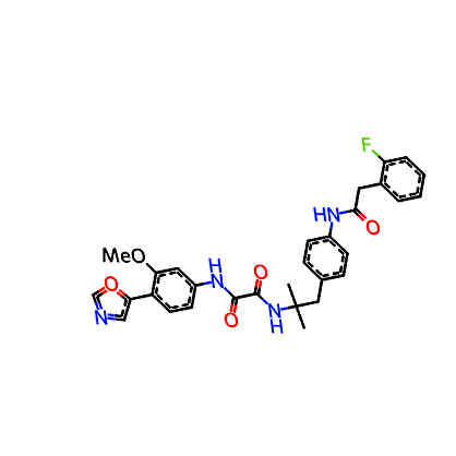 COc1cc(NC(=O)C(=O)NC(C)(C)Cc2ccc(NC(=O)Cc3ccccc3F)cc2)ccc1-c1cnco1